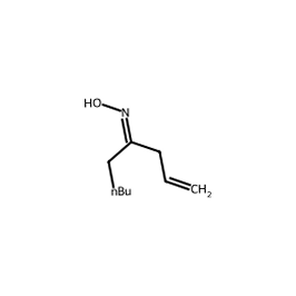 C=CC/C(CCCCC)=N/O